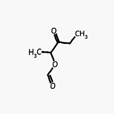 CCC(=O)C(C)OC=O